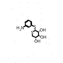 Nc1cccc(S[C@@H]2SC[C@@H](O)[C@H](O)[C@H]2O)c1